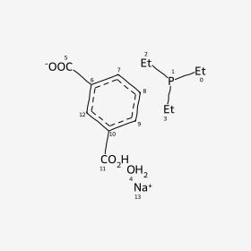 CCP(CC)CC.O.O=C([O-])c1cccc(C(=O)O)c1.[Na+]